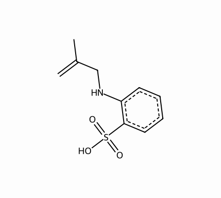 C=C(C)CNc1ccccc1S(=O)(=O)O